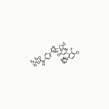 [2H]C([2H])([2H])OC(=O)Nc1ccc(-c2cnc([C@H]3CC4(CC4)c4nc(-c5c(-n6cnnn6)ccc(Cl)c5F)cc(=O)n43)[nH]2)cc1